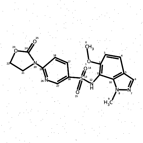 COc1ccc2cnn(C)c2c1NS(=O)(=O)c1ccc(N2CCOC2=O)nc1